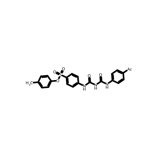 CC(=O)c1ccc(NC(=O)NC(=O)Nc2ccc(S(=O)(=O)Oc3ccc(C)cc3)cc2)cc1